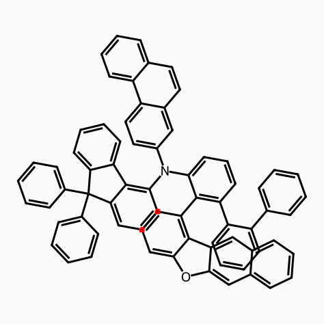 c1ccc(-c2ccccc2-c2cccc(N(c3ccc4c(ccc5ccccc54)c3)c3cccc4c3-c3ccccc3C4(c3ccccc3)c3ccccc3)c2-c2cccc3oc4cc5ccccc5cc4c23)cc1